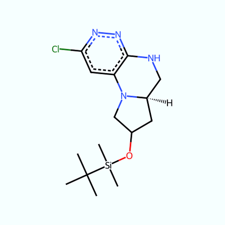 CC(C)(C)[Si](C)(C)OC1C[C@@H]2CNc3nnc(Cl)cc3N2C1